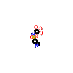 COc1cc(N(C)S(=O)(=O)c2ccc3c(ccn3C)c2)cc(OC)c1OC